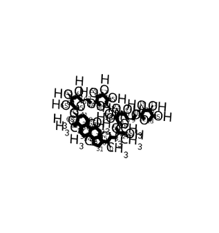 C[C@H](CC[C@@H](O[C@@H]1O[C@H](CO[C@@H]2OC[C@@H](O)[C@H](O)[C@H]2O)[C@@H](O)[C@H](O)[C@H]1O)C(C)(C)O)C1CC[C@@]2(C)C3CC=C4C(CC[C@H](O[C@@H]5O[C@H](CO[C@@H]6O[C@H](CO)[C@@H](O)[C@H](O)[C@H]6O)[C@@H](O)[C@H](O)[C@H]5O)C4(C)C)[C@]3(C)[C@H](O)C[C@]12C